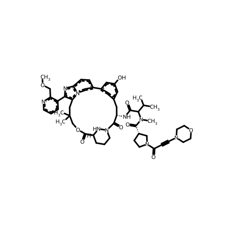 COCc1ncccc1-c1nc2ccc3cn2c1CC(C)(C)COC(=O)[C@@H]1CCCN(N1)C(=O)[C@@H](NC(=O)C(C(C)C)N(C)C(=O)[C@H]1CCN(C(=O)C#CN2CCOCC2)C1)Cc1cc(O)cc-3c1